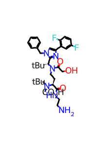 CC(C)(C)[C@H](c1nc(-c2cc(F)ccc2F)cn1Cc1ccccc1)N(CC[C@@H](C(=O)NCCN)N(C(=O)O)C(C)(C)C)C(=O)CO